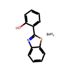 Oc1ccccc1-c1nc2ccccc2s1.[BeH2]